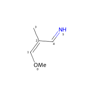 CO/C=C(/C)C=N